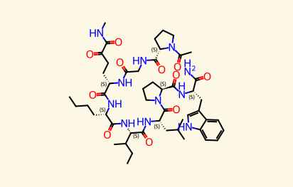 CCCC[C@H](NC(=O)[C@H](CCC(=O)C(=O)NC)NC(=O)CNC(=O)[C@@H]1CCCN1C(C)=O)C(=O)N[C@H](C(=O)N[C@@H](CC(C)C)C(=O)N1CCC[C@H]1C(=O)N[C@@H](Cc1c[nH]c2ccccc12)C(N)=O)C(C)CC